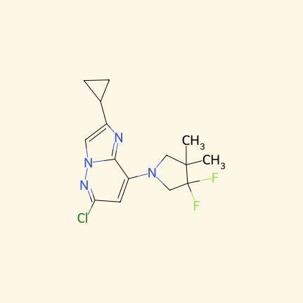 CC1(C)CN(c2cc(Cl)nn3cc(C4CC4)nc23)CC1(F)F